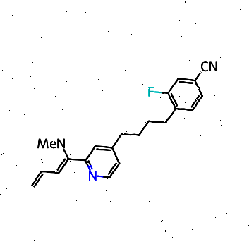 C=C/C=C(\NC)c1cc(CCCCc2ccc(C#N)cc2F)ccn1